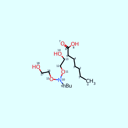 CCCCCCC(=O)O.CCCCN(OCCO)OCCO